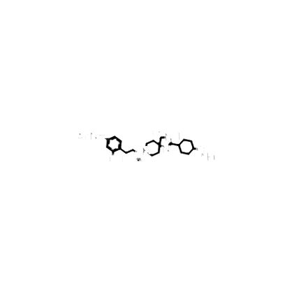 CCCOC1CCC(C2=NC3(CCN([S+]([O-])CCc4ccc(NC(C)=O)cc4C)CC3)C(=O)N2)CC1